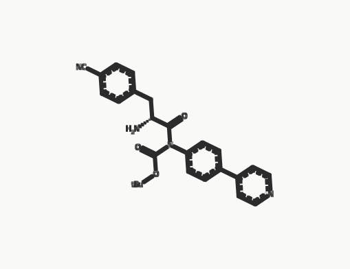 CC(C)(C)OC(=O)N(C(=O)[C@H](N)Cc1ccc(C#N)cc1)c1ccc(-c2ccncc2)cc1